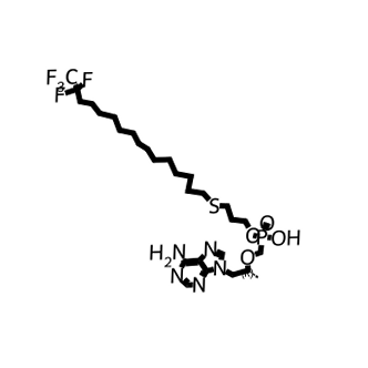 C[C@H](Cn1cnc2c(N)ncnc21)OCP(=O)(O)OCCCSCCCCCCCCCCCCCCC(F)(F)C(F)(F)F